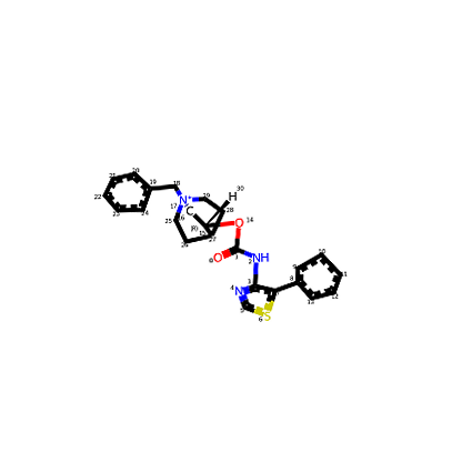 O=C(Nc1ncsc1-c1ccccc1)O[C@H]1C[N+]2(Cc3ccccc3)CCC1CC2